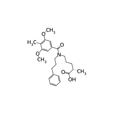 COc1cc(C(=O)N(CCCc2ccccc2)CCC[C@H](C)C(=O)O)cc(OC)c1C